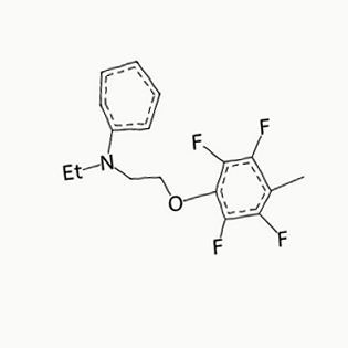 CCN(CCOc1c(F)c(F)c(C)c(F)c1F)c1ccccc1